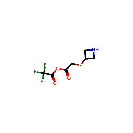 O=C(CSC1CNC1)OC(=O)C(F)(F)F